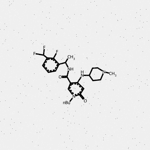 CCCCn1cc(C(=O)NC(C)c2cccc(C(F)F)c2F)c(NC2CCN(C)CC2)cc1=O